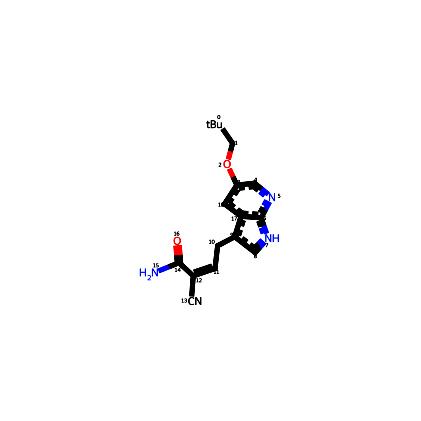 CC(C)(C)COc1cnc2[nH]cc(CC=C(C#N)C(N)=O)c2c1